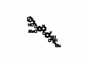 COc1cc2c(Oc3ccc(NC(=O)NCCC(C)(C)C)c(F)c3)ccnc2cc1OCC(O)CN1CCOCC1